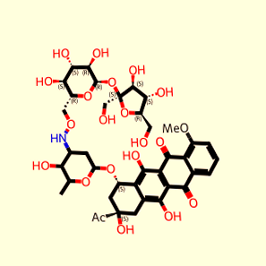 COc1cccc2c1C(=O)c1c(O)c3c(c(O)c1C2=O)C[C@@](O)(C(C)=O)C[C@@H]3OC1CC(NOC[C@H]2O[C@H](O[C@]3(CO)O[C@H](CO)[C@@H](O)[C@@H]3O)[C@H](O)[C@@H](O)[C@@H]2O)C(O)C(C)O1